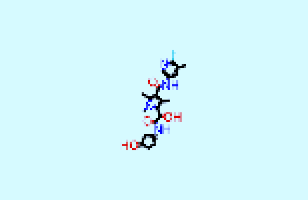 Cc1cc(NC(=O)c2c(C)c(C(O)C(=O)N[C@@H]3CC[C@@H](O)C3)n(C)c2C)cnc1F